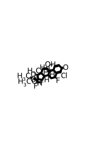 CC1(C)O[C@@H]2C[C@H]3[C@@H]4C[C@H](F)C5=C(Cl)C(=O)C=C[C@]5(C)[C@@]4(F)[C@@H](O)C[C@]3(C)[C@]2(C(=O)C(F)F)O1